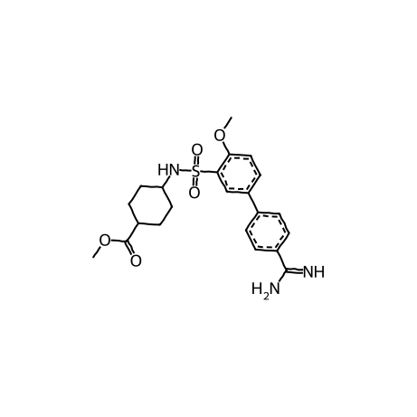 COC(=O)C1CCC(NS(=O)(=O)c2cc(-c3ccc(C(=N)N)cc3)ccc2OC)CC1